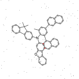 Cc1cc(-c2ccc3ccccc3c2)cc(-c2cccc3ccccc23)c1N(c1ccc2c(c1)C(C)(C)c1ccccc1-2)c1ccc2c(c1)oc1ccccc12